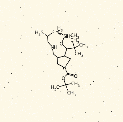 CC(C)CNCC1CN(C(=O)OC(C)(C)C)CC1C(O[SiH](C)C)C(C)(C)C